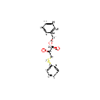 O=C(CSc1ccccc1)C(=O)OCc1ccccc1